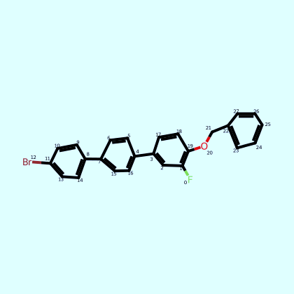 Fc1cc(-c2ccc(-c3ccc(Br)cc3)cc2)ccc1OCc1ccccc1